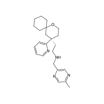 Cc1cnc(CNCC[C@@]2(c3ccccn3)CCOC3(CCCCC3)C2)cn1